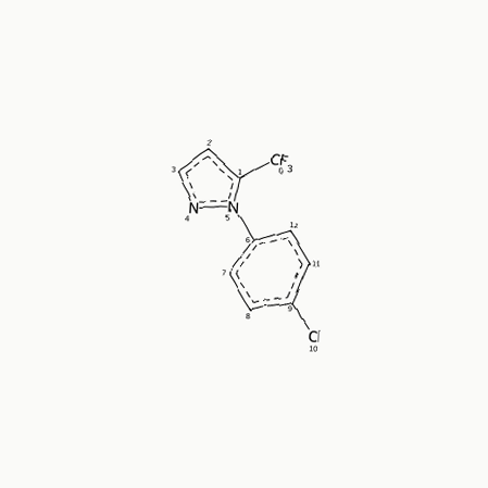 FC(F)(F)c1ccnn1-c1ccc(Cl)cc1